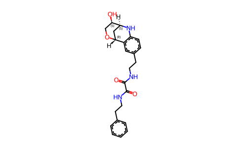 O=C(NCCc1ccccc1)C(=O)NCCc1ccc2c(c1)[C@H]1C[C@H](N2)[C@H](O)CO1